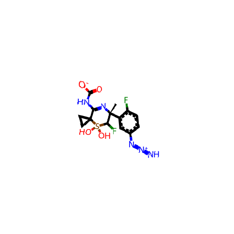 C[C@]1(c2cc(N=[N+]=N)ccc2F)N=C(NC(=O)[O-])C2(CC2)S(O)(O)C1F